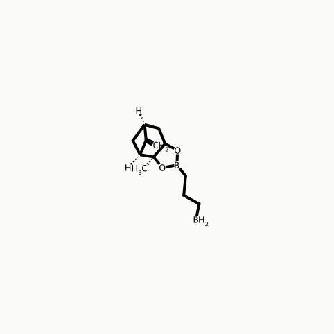 BCCCB1OC2C[C@@H]3C[C@@H](C3=C)[C@]2(C)O1